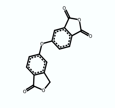 O=C1OCc2cc(Oc3ccc4c(c3)C(=O)OC4=O)ccc21